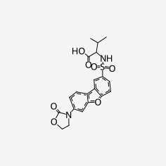 CC(C)C(NS(=O)(=O)c1ccc2oc3cc(N4CCOC4=O)ccc3c2c1)C(=O)O